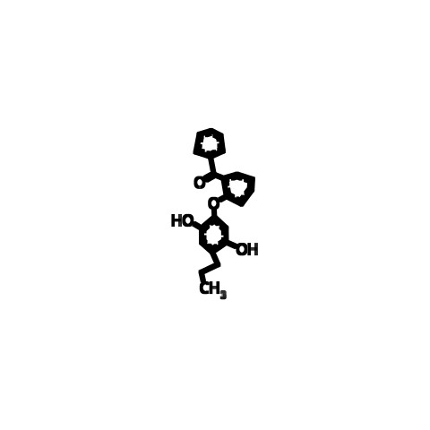 CCCc1cc(O)c(Oc2ccccc2C(=O)c2ccccc2)cc1O